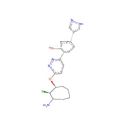 NC1CCCC[C@H](Oc2ccc(-c3ccc(-c4cn[nH]c4)cc3O)nn2)[C@@H]1F